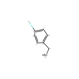 CCCC[CH]c1ccc(F)cc1